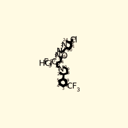 Cl.FC(F)(F)c1cccc(C2CCCN(CC(Cc3nnc(-c4ccc(Cl)cn4)o3)C(F)(F)F)C2)c1